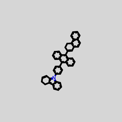 C1=Cc2c(c3ccccc3n2-c2ccc(-c3c4ccccc4c(C4=Cc5ccc6ccccc6c5CC4)c4ccccc34)cc2)CC1